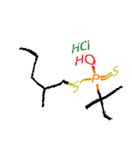 CCCC(C)CSP(O)(=S)C(C)(C)C.Cl